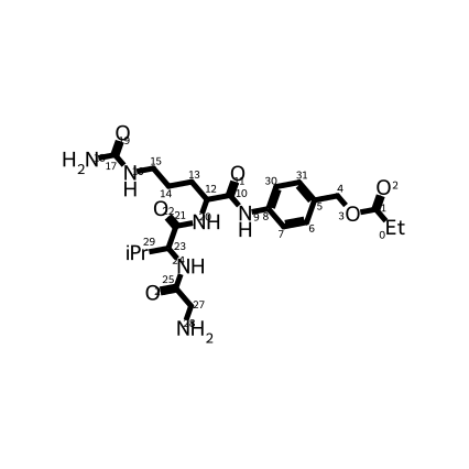 CCC(=O)OCc1ccc(NC(=O)C(CCCNC(N)=O)NC(=O)C(NC(=O)CN)C(C)C)cc1